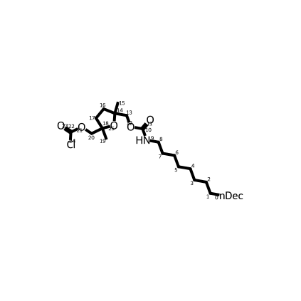 CCCCCCCCCCCCCCCCCCNC(=O)OCC1(C)CCC(C)(COC(=O)Cl)O1